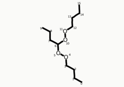 CCCCOOC(CCC)OOCCCC